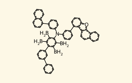 Bc1c(B)c(N(c2cccc(-c3cccc4ccccc34)c2)c2cccc(-c3cccc4oc5c6ccccc6ccc5c34)c2)c(B)c(B)c1-c1cccc(-c2ccccc2)c1